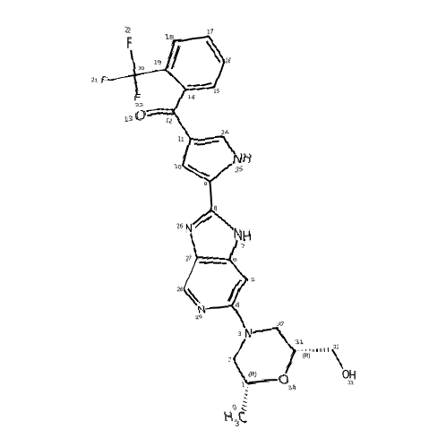 C[C@@H]1CN(c2cc3[nH]c(-c4cc(C(=O)c5ccccc5C(F)(F)F)c[nH]4)nc3cn2)C[C@H](CO)O1